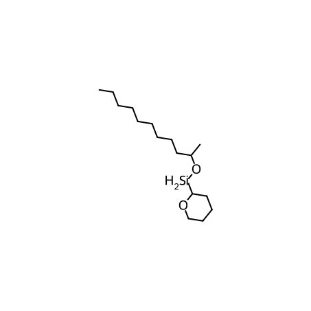 CCCCCCCCCC(C)O[SiH2]C1CCCCO1